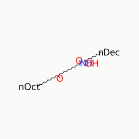 CCCCCCCCC=CCCCCCCCC(=O)CCCCCCCCCCC(=O)NCC(O)CCCCCCCCCCCCCCCC